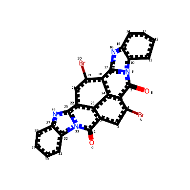 O=c1c2cc(Br)c3c(=O)n4c5ccccc5nc4c4c(Br)cc(c2c34)c2nc3ccccc3n12